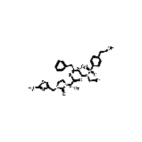 Cc1nc(CN2CCN([C@H](C(=O)N[C@@H](Cc3ccccc3)[C@H](O)CN(CC(C)C)S(=O)(=O)c3ccc(CCO)cc3)C(C)C)C2=O)cs1